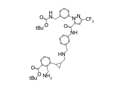 CC(C)(C)OC(=O)NCc1cccc(-n2nc(C(F)(F)F)cc2C(=O)Nc2cccc(CNCC3CC3c3cccc(C(=O)OC(C)(C)C)c3CN)c2)c1